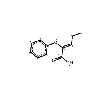 CC/C=C(\Oc1ccccc1)C(=O)O